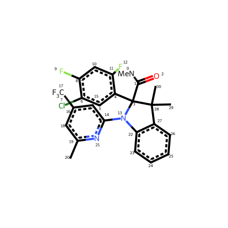 CNC(=O)C1(c2cc(Cl)c(F)cc2F)N(c2cc(C(F)(F)F)cc(C)n2)c2ccccc2C1(C)C